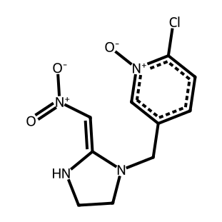 O=[N+]([O-])/C=C1\NCCN1Cc1ccc(Cl)[n+]([O-])c1